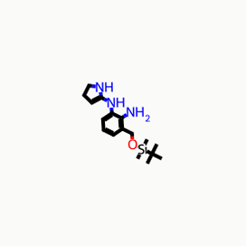 CC(C)(C)[Si](C)(C)OCc1cccc(NC2=CCCN2)c1N